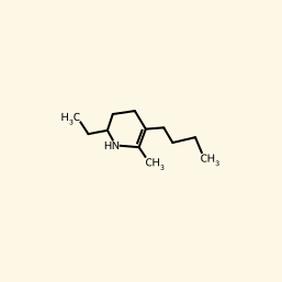 CCCCC1=C(C)NC(CC)CC1